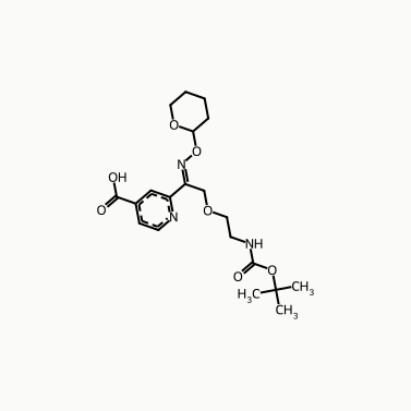 CC(C)(C)OC(=O)NCCOC/C(=N\OC1CCCCO1)c1cc(C(=O)O)ccn1